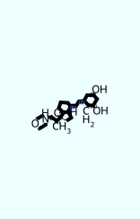 C=C1/C(=C\C=C2/CCC[C@]3(C)[C@@H]([C@H](C)CN4CCOCC4)CC[C@@H]23)C[C@@H](O)C[C@@H]1O